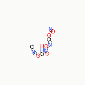 O=C(NC[C@H](O)CN1CCc2cc(OCc3cnco3)ccc2C1)c1ccc(OC2CCN(Cc3ccccc3)CC2)cc1